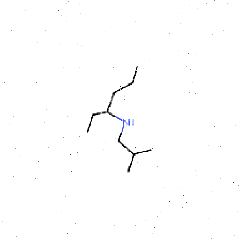 CCCC(CC)NCC(C)C